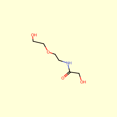 O=C(CO)NCCOCCO